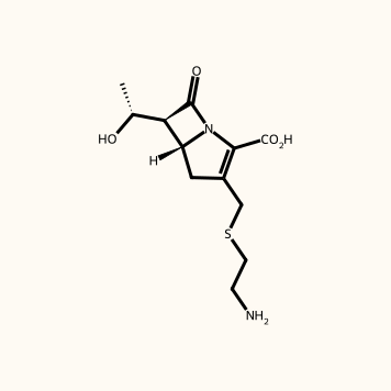 C[C@@H](O)[C@H]1C(=O)N2C(C(=O)O)=C(CSCCN)C[C@H]12